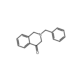 O=C1CN(Cc2ccccc2)Cc2ccccc21